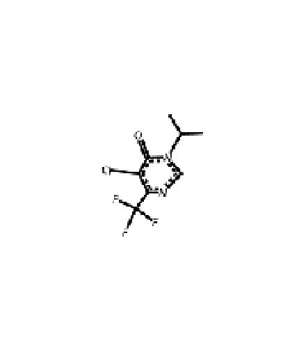 CC(C)n1cnc(C(F)(F)F)c(Cl)c1=O